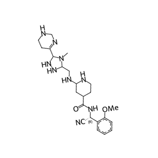 COc1ccccc1[C@H](C#N)NC(=O)C1CCNC(NCC2NNC(C3=NCNCC3)N2C)C1